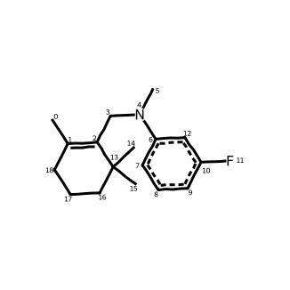 CC1=C(CN(C)c2cccc(F)c2)C(C)(C)CCC1